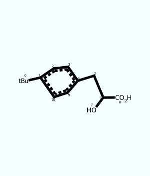 CC(C)(C)c1ccc(CC(O)C(=O)O)cc1